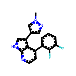 Cn1cc(-c2c[nH]c3nccc(-c4cccc(F)c4F)c23)cn1